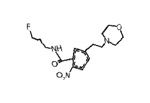 O=C(NCCCF)c1cc(CCN2CCOCC2)ccc1[N+](=O)[O-]